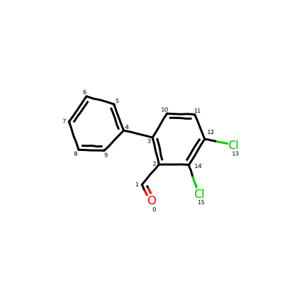 O=Cc1c(-c2ccccc2)ccc(Cl)c1Cl